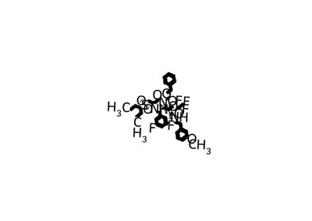 CCCC(CCC)S(=O)(=O)CC(N)C(=O)N(C(=O)OCc1ccccc1)[C@@H](Cc1cc(F)cc(F)c1)[C@@H](CNCCc1cccc(OC)c1)OC(=O)C(F)(F)F